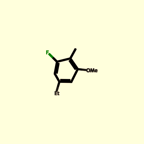 CCc1cc(F)c(C)c(OC)c1